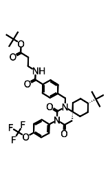 CC(C)(C)OC(=O)CCNC(=O)c1ccc(CN2C(=O)N(c3ccc(OC(F)(F)F)cc3)C(=O)C[C@]23CC[C@@H](C(C)(C)C)CC3)cc1